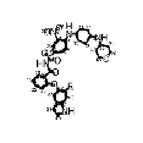 O=C(NS(=O)(=O)c1ccc(NC2CCC(NC3CCOCC3)CC2)c([N+](=O)[O-])c1)c1ccccc1Oc1cc2cc[nH]c2cc1F